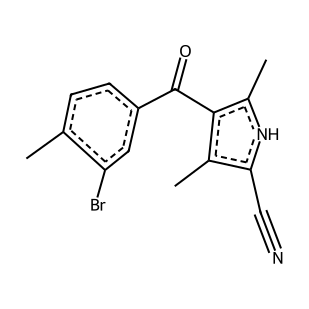 Cc1ccc(C(=O)c2c(C)[nH]c(C#N)c2C)cc1Br